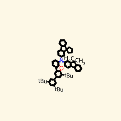 CC(C)(C)c1cc(-c2cc(C(C)(C)C)c3oc4c(N(c5ccc6c(c5)C(C)(C)c5ccccc5-6)c5ccc6c(c5)C5(CCCC5)c5ccccc5-6)cccc4c3c2)cc(C(C)(C)C)c1